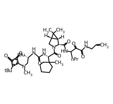 C=CCNC(=O)C(=O)C(CCC)NC(=O)[C@@H]1[C@@H]2[C@H](CN1C(=O)[C@@H](NC(=O)N[C@H](CN(C)c1c(C(C)(C)C)c(=O)c1=O)C(C)(C)C)C1(C)CCCCC1)C2(C)C